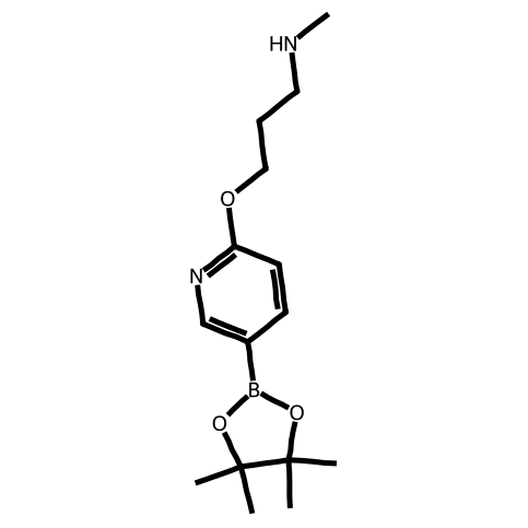 CNCCCOc1ccc(B2OC(C)(C)C(C)(C)O2)cn1